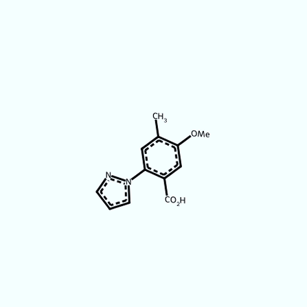 COc1cc(C(=O)O)c(-n2cccn2)cc1C